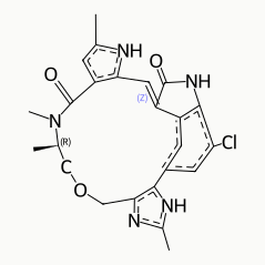 Cc1cc2c([nH]1)/C=C1\C(=O)Nc3c(Cl)cc(cc31)-c1[nH]c(C)nc1COC[C@@H](C)N(C)C2=O